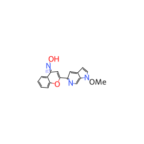 COn1ccc2cc(-c3c/c(=N\O)c4ccccc4o3)ncc21